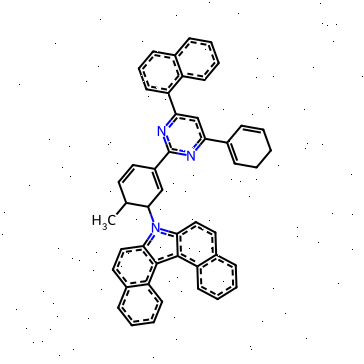 CC1C=CC(c2nc(C3=CCCC=C3)cc(-c3cccc4ccccc34)n2)=CC1n1c2ccc3ccccc3c2c2c3ccccc3ccc21